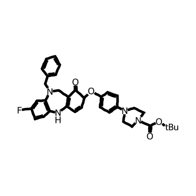 CC(C)(C)OC(=O)N1CCN(c2ccc(OC3C=CC4=C(CN(Cc5ccccc5)c5cc(F)ccc5N4)C3=O)cc2)CC1